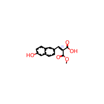 COC(=O)/C(=C\c1ccc2cc(O)ccc2c1)C(=O)O